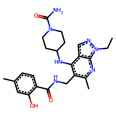 CCn1ncc2c(NC3CCN(C(N)=O)CC3)c(CNC(=O)c3ccc(C)cc3O)c(C)nc21